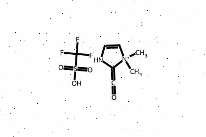 C[N+]1(C)C=CNC1=C=O.O=S(=O)(O)C(F)(F)F